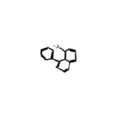 Bc1cccc2cccc(-c3ccccc3)c12